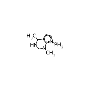 CC1NCN(C)c2c1ccn2P